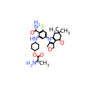 C[C@H](N)C(=O)O[C@H]1CC[C@H](Nc2cc(-n3c4c(c5c3CC(C)(C)CC5=O)COC4)cc(F)c2C(N)=O)CC1